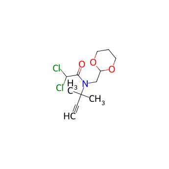 C#CC(C)(C)N(CC1OCCCO1)C(=O)C(Cl)Cl